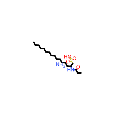 C=CC(=O)NC(CCCCCCCCCCCCCC)CS(=O)(=O)O.N